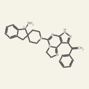 C=C(c1ccccc1)c1n[nH]c2c1C1=NCCN1C(N1CCC3(CC1)Cc1ccccc1[C@H]3N)=N2